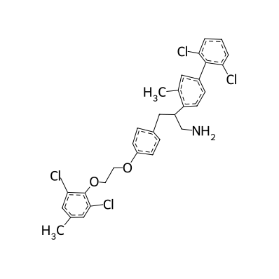 Cc1cc(Cl)c(OCCOc2ccc(CC(CN)c3ccc(-c4c(Cl)cccc4Cl)cc3C)cc2)c(Cl)c1